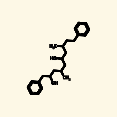 CC(CCc1ccccc1)CC(O)CC(C)CC(O)Cc1ccccc1